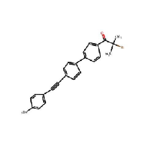 CCCCc1ccc(C#Cc2ccc(-c3ccc(C(=O)C(C)(C)Br)cc3)cc2)cc1